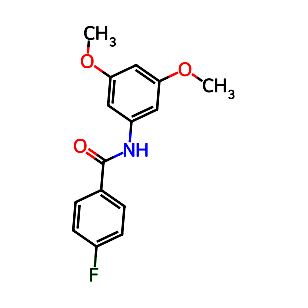 COc1cc(NC(=O)c2ccc(F)cc2)cc(OC)c1